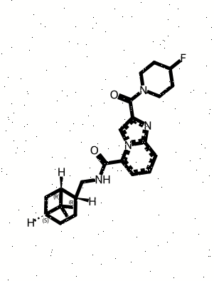 CC1(C)[C@H]2CC[C@@H](CNC(=O)c3cccc4nc(C(=O)N5CCC(F)CC5)cn34)[C@H]1C2